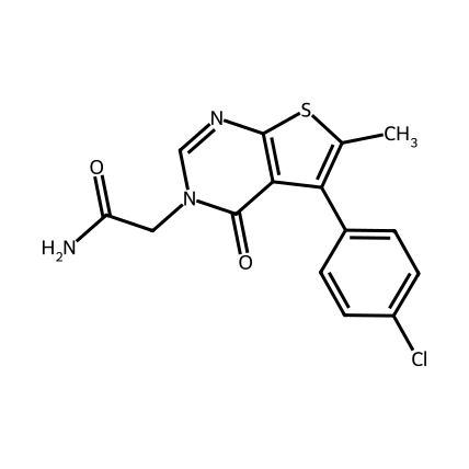 Cc1sc2ncn(CC(N)=O)c(=O)c2c1-c1ccc(Cl)cc1